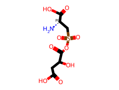 N[C@@H](CS(=O)(=O)OC(=O)C(O)CC(=O)O)C(=O)O